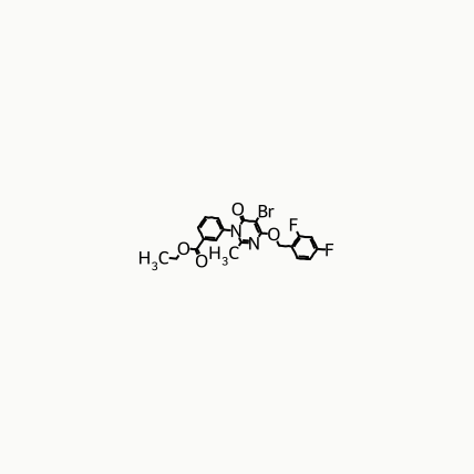 CCOC(=O)c1cccc(-n2c(C)nc(OCc3ccc(F)cc3F)c(Br)c2=O)c1